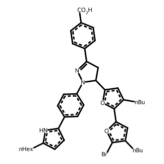 CCCCCCc1ccc(-c2ccc(N3N=C(c4ccc(C(=O)O)cc4)CC3c3cc(CCCC)c(-c4cc(CCCC)c(Br)o4)o3)cc2)[nH]1